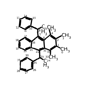 Cc1c(C)c(C)c2c(C(C)c3ccccc3)c3ccccc3c(C(C)c3ccccc3)c2c1C